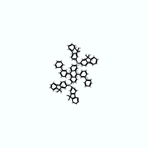 CC1(C)C2=C(C=CCC2)c2ccc(N(c3ccc4c(c3)C(C)(C)c3ccccc3-4)c3ccc4c(-c5cccc(-c6ccccc6)c5)c5cc(N(c6ccc7c(c6)C(C)(C)c6ccccc6-7)c6ccc7c(c6)C(C)(C)c6ccccc6-7)ccc5c(-c5cccc(-c6ccccc6)c5)c4c3)cc21